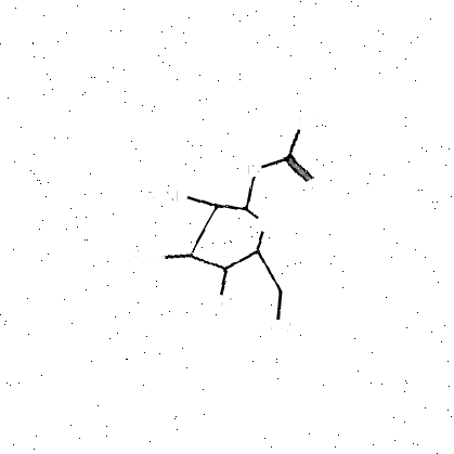 CCCC(=O)NC1OC(COC(C)=O)C(OC(C)=O)C(OC(C)=O)C1NC(C)=O